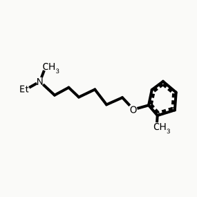 CCN(C)CCCCCCOc1ccccc1C